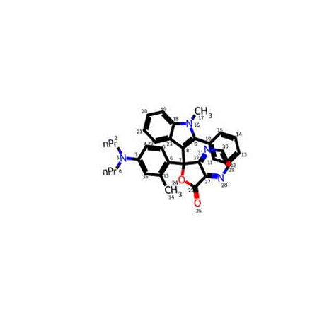 CCCN(CCC)c1ccc(C2(c3c(-c4ccccc4)n(C)c4ccccc34)OC(=O)c3nccnc32)c(C)c1